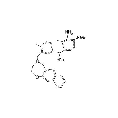 CNc1ccc(C(c2ccc(C)c(CN3CCOc4cc5ccccc5cc4C3)c2)C(C)(C)C)c(C)c1N